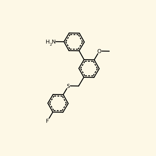 COc1ccc(CSc2ccc(F)cc2)cc1-c1cccc(N)c1